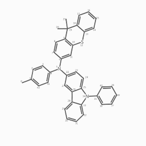 Cc1ccc(N(c2ccc3c(c2)Sc2ccccc2C3(C)C)c2ccc3c(c2)c2ccccc2n3-c2ccccc2)cc1